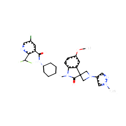 COc1ccc2c(c1)C1(CN(c3cnn(C)c3)C1)C(=O)N2C[C@H]1CC[C@H](NC(=O)c2cc(Cl)cnc2C(F)F)CC1